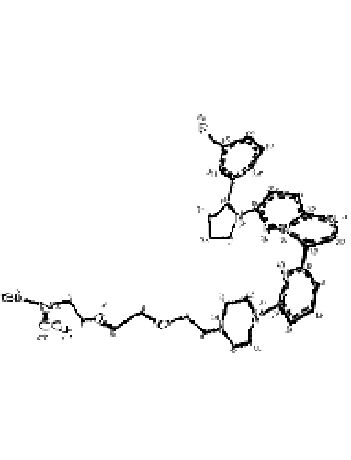 CC(C)(C)N(CCOCCOCCN1CCN(c2cccc(-c3cnc4ccc(N5CCC[C@H]5c5cccc(F)c5)nn34)n2)CC1)C(=O)O